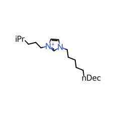 CCCCCCCCCCCCCCCn1cc[n+](CCCC(C)C)c1